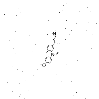 C=CN(c1ccc(OC)cc1)c1cc(/C(C)=C/C=N\C)ccc1C